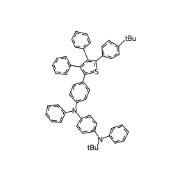 CC(C)(C)c1ccc(-c2sc(-c3ccc(N(c4ccccc4)c4ccc(N(c5ccccc5)C(C)(C)C)cc4)cc3)c(-c3ccccc3)c2-c2ccccc2)cc1